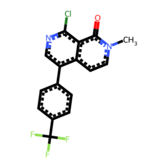 Cn1ccc2c(-c3ccc(C(F)(F)F)cc3)cnc(Cl)c2c1=O